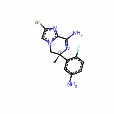 C[C@@]1(c2cc(N)ccc2F)Cn2cc(Br)nc2C(N)=N1